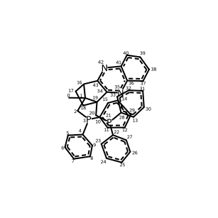 CC1(CP(c2ccccc2)c2ccccc2)C2CCC1(CP(c1ccccc1)c1ccccc1)c1nc3ccccc3nc12